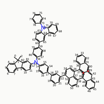 CC1(C)c2ccccc2-c2ccc(N(c3ccc(-c4cccc(-c5ccc(-c6cccc7ccccc67)c6c(-c7cccc8ccccc78)cccc56)c4)cc3)c3ccc(-c4ccc5c(c4)c4ccccc4n5-c4ccccc4)cc3)cc21